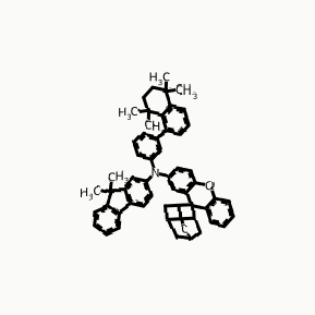 CC1(C)CCC(C)(C)c2c(-c3cccc(N(c4ccc5c(c4)C(C)(C)c4ccccc4-5)c4ccc5c(c4)C4(c6ccccc6O5)C5CC6CC7CC4C75C6)c3)cccc21